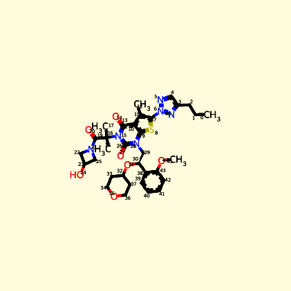 CCCc1cnn(-c2sc3c(c2C)c(=O)n(C(C)(C)C(=O)N2CC(O)C2)c(=O)n3C[C@H](OC2CCOCC2)c2ccccc2OC)n1